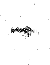 CCn1c(NCCN)c(C(=O)NCCN)c(=O)c2ccc(-c3ccc(NC(=O)NCc4cccnc4)cc3)nc21